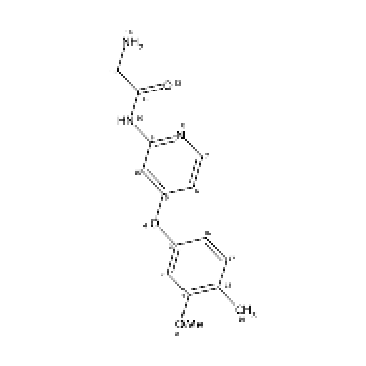 COc1cc(Oc2ccnc(NC(=O)CN)c2)ccc1C